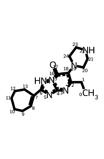 CCc1nc2nc(C3=CCCCCC3)[nH]n2c(=O)c1N1CCNCC1